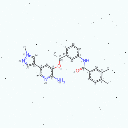 Cc1ccc(C(=O)Nc2cccc([C@@H](C)Oc3cc(-c4cnn(C)c4)cnc3N)c2)cc1C